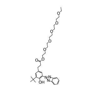 CCOCCOCCOCCOCCOCCOC(=O)CCc1cc(-n2n3c4ccccc4n23)c(O)c(C(C)(C)C)c1